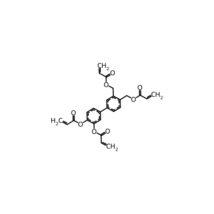 C=CC(=O)OCc1ccc(-c2ccc(OC(=O)C=C)c(OC(=O)C=C)c2)cc1COC(=O)C=C